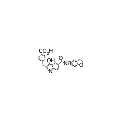 O=C(O)c1ccc(Cc2cnc3ccc(C(=O)NCc4ccc5c(c4)CCO5)cc3c2O)cc1